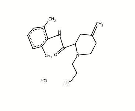 C=C1CCN(CCC)C(C(=O)Nc2c(C)cccc2C)C1.Cl